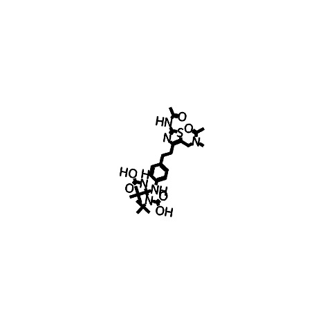 CC(=O)Nc1nc(CCc2ccc(NC(NC(=O)O)(N(C(=O)O)C(C)(C)C)C(C)(C)C)cc2)c(CN(C)C(C)=O)s1